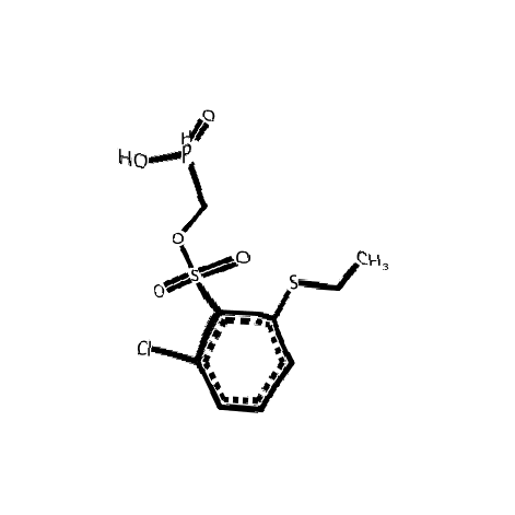 CCSc1cccc(Cl)c1S(=O)(=O)OC[PH](=O)O